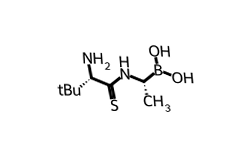 C[C@H](NC(=S)[C@@H](N)C(C)(C)C)B(O)O